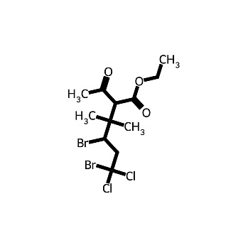 CCOC(=O)C(C(C)=O)C(C)(C)C(Br)CC(Cl)(Cl)Br